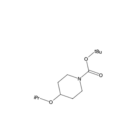 CC(C)OC1CCN(C(=O)OC(C)(C)C)CC1